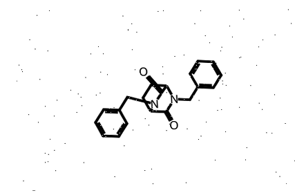 O=C1C2CCC(C(=O)N2Cc2ccccc2)N1Cc1ccccc1